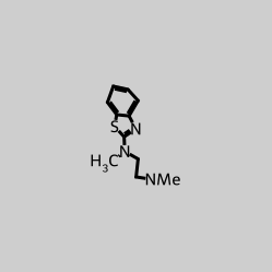 CNCCN(C)c1nc2ccccc2s1